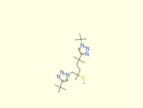 CSC(C)(CCC(C)(C)c1cn(C(C)(C)C)nn1)Cn1cc(C(C)(C)C)nn1